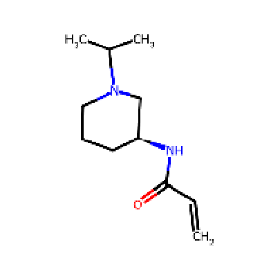 C=CC(=O)N[C@H]1CCCN(C(C)C)C1